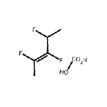 CC(F)=C(F)C(C)F.O=C(O)O